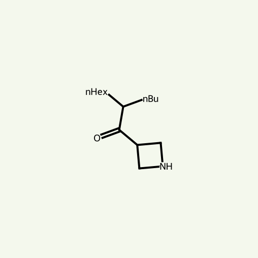 CCCCCCC(CCCC)C(=O)C1CNC1